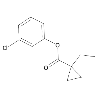 CCC1(C(=O)Oc2cccc(Cl)c2)CC1